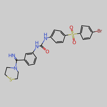 N=C(c1cccc(NC(=O)Nc2ccc(S(=O)(=O)c3ccc(Br)cc3)cc2)c1)N1CCSCC1